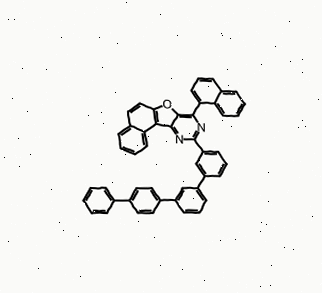 c1ccc(-c2ccc(-c3cccc(-c4cccc(-c5nc(-c6cccc7ccccc67)c6oc7ccc8ccccc8c7c6n5)c4)c3)cc2)cc1